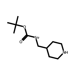 CC(C)(C)O[C](=O)[Sn][CH2]C1CCNCC1